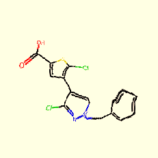 O=C(O)c1cc(-c2cn(Cc3ccccc3)nc2Cl)c(Cl)s1